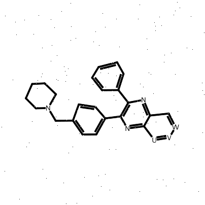 [CH]1=[W][V]=[U][c]2nc(-c3ccc(CN4CCCCC4)cc3)c(-c3ccccc3)nc21